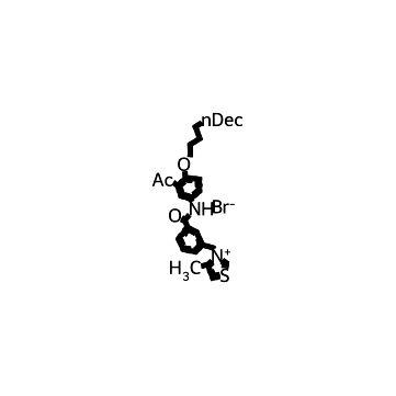 CCCCCCCCCCCCCCOc1ccc(NC(=O)c2cccc(C[n+]3cscc3C)c2)cc1C(C)=O.[Br-]